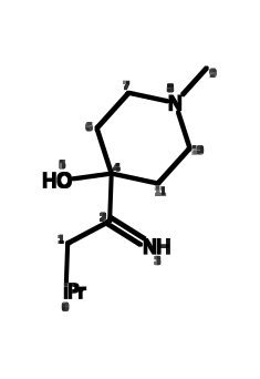 CC(C)CC(=N)C1(O)CCN(C)CC1